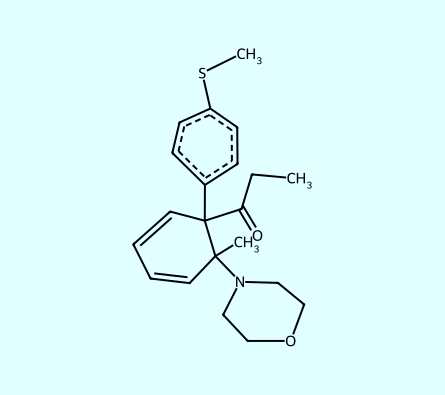 CCC(=O)C1(c2ccc(SC)cc2)C=CC=CC1(C)N1CCOCC1